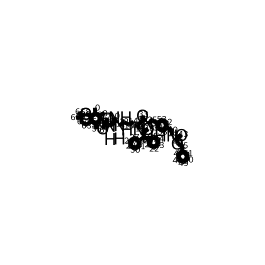 Cc1c(C)c(S(=O)(=O)NC(=N)NCCC[C@@H](NC(=O)C(c2ccccc2)c2ccccc2)C(=O)NCc2ccc(CNC(=O)OCc3ccccc3)cc2)c(C)c2c1OC(C)(C)CC2